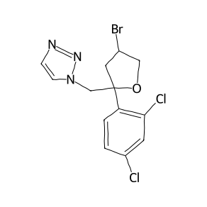 Clc1ccc(C2(Cn3ccnn3)CC(Br)CO2)c(Cl)c1